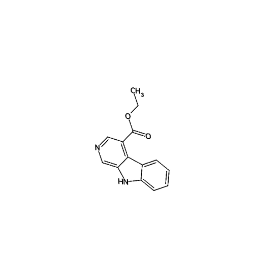 CCOC(=O)c1cncc2[nH]c3ccccc3c12